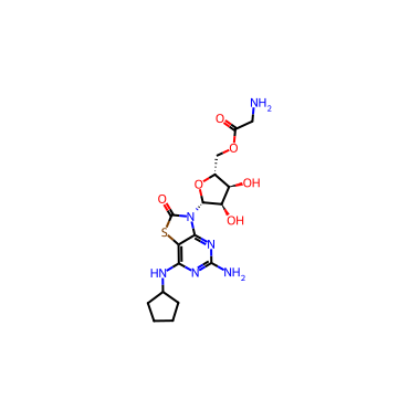 NCC(=O)OC[C@H]1O[C@@H](n2c(=O)sc3c(NC4CCCC4)nc(N)nc32)[C@H](O)[C@@H]1O